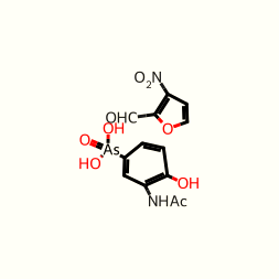 CC(=O)Nc1cc([As](=O)(O)O)ccc1O.O=Cc1occc1[N+](=O)[O-]